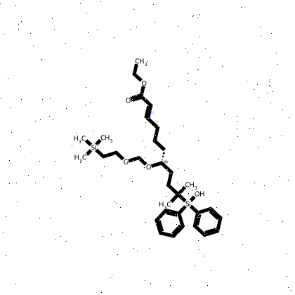 CCOC(=O)/C=C/CCC[C@H](CCC(C)(C)[Si](O)(c1ccccc1)c1ccccc1)OCOCC[Si](C)(C)C